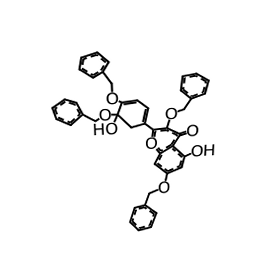 O=c1c(OCc2ccccc2)c(C2=CC=C(OCc3ccccc3)C(O)(OCc3ccccc3)C2)oc2cc(OCc3ccccc3)cc(O)c12